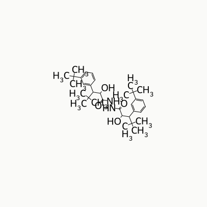 CC(C)(C)c1cccc(C(C(O)C(=O)NNC(=O)C(O)C(c2cccc(C(C)(C)C)c2)C(C)(C)C)C(C)(C)C)c1